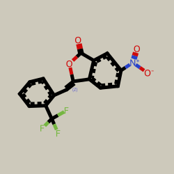 O=C1O/C(=C\c2ccccc2C(F)(F)F)c2ccc([N+](=O)[O-])cc21